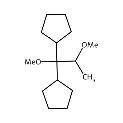 COC(C)C(OC)(C1CCCC1)C1CCCC1